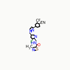 Cc1ncsc1C(=O)NCc1ncc(Cn2ccc(-c3ccc(C#N)c(C(F)(F)F)c3)n2)cc1F